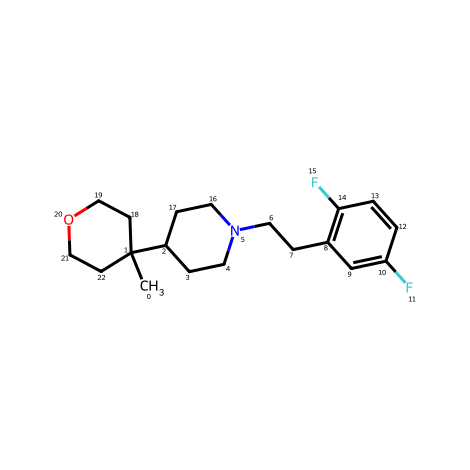 CC1(C2CCN(CCc3cc(F)ccc3F)CC2)CCOCC1